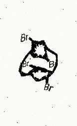 Brc1cc2c(Br)cc1CCc1cc(Br)c(cc1Br)CC2